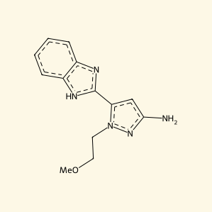 COCCn1nc(N)cc1-c1nc2ccccc2[nH]1